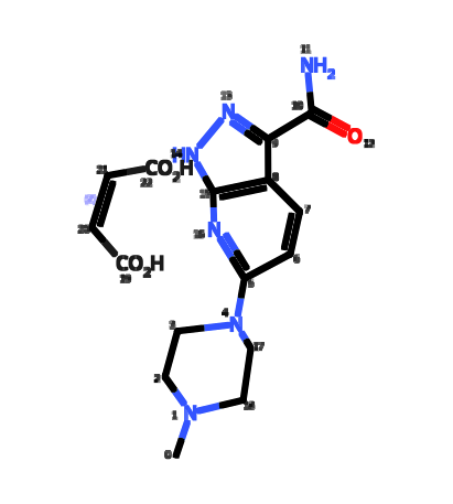 CN1CCN(c2ccc3c(C(N)=O)n[nH]c3n2)CC1.O=C(O)/C=C\C(=O)O